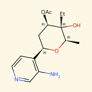 CC[C@@]1(O)[C@@H](C)O[C@@H](c2ccncc2N)C[C@H]1OC(C)=O